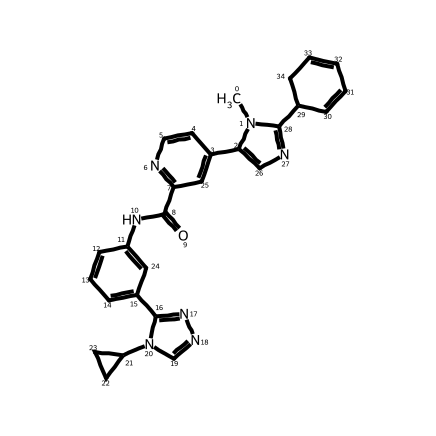 Cn1c(-c2ccnc(C(=O)Nc3cccc(-c4nncn4C4CC4)c3)c2)cnc1C1C=CC=CC1